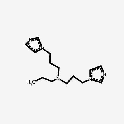 CCCN(CCCn1ccnc1)CCCn1ccnc1